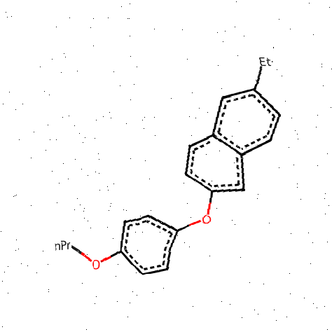 C[CH]c1ccc2cc(Oc3ccc(OCCC)cc3)ccc2c1